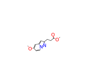 COC(=O)CCc1cc2cc(OC)ccn2n1